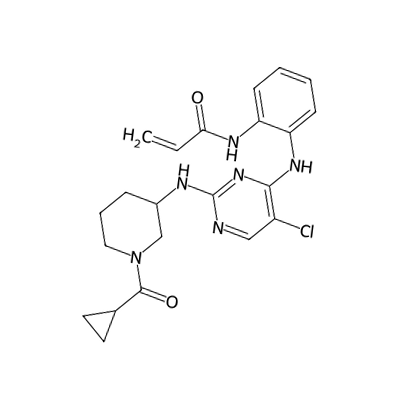 C=CC(=O)Nc1ccccc1Nc1nc(NC2CCCN(C(=O)C3CC3)C2)ncc1Cl